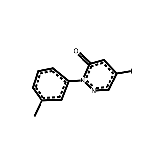 Cc1cccc(-n2ncc(I)cc2=O)c1